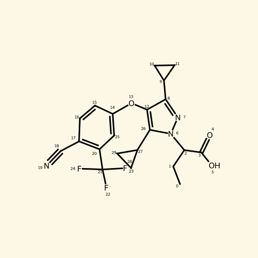 CCC(C(=O)O)n1nc(C2CC2)c(Oc2ccc(C#N)c(C(F)(F)F)c2)c1C1CC1